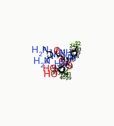 NCCN(CCN)C(=O)C[C@H](N)C(=O)N[C@H](Cc1ccc(C(F)(F)F)cc1)C(=O)Nc1cc(B(O)O)cc(C(F)(F)F)c1